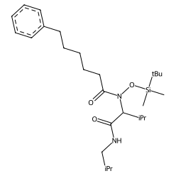 CC(C)CNC(=O)C(C(C)C)N(O[Si](C)(C)C(C)(C)C)C(=O)CCCCCc1ccccc1